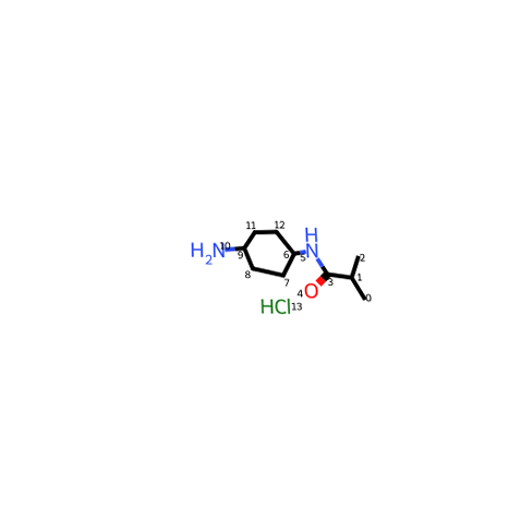 CC(C)C(=O)NC1CCC(N)CC1.Cl